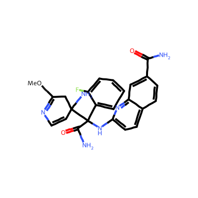 COC1=NC=CC(N)(C(Nc2ccc3ccc(C(N)=O)cc3n2)(C(N)=O)c2ccccc2F)C1